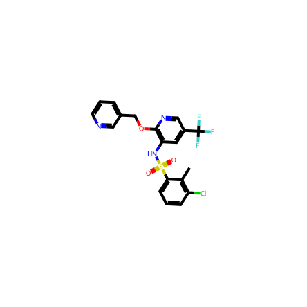 Cc1c(Cl)cccc1S(=O)(=O)Nc1cc(C(F)(F)F)cnc1OCc1cccnc1